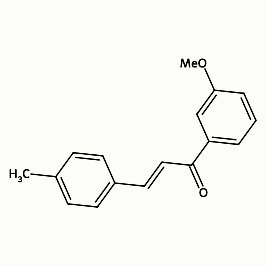 COc1cccc(C(=O)C=Cc2ccc(C)cc2)c1